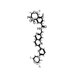 C[C@@H]1CN(c2cccc(-c3ccc4cnc(CNC(=O)c5cc(F)c6c(c5)S(=O)(=O)[C@@H](F)CO[C@@H]6C)cc4n3)n2)C[C@H](C)O1